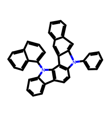 c1ccc(-n2c3cc4ccccc4cc3c3c2ccc2c4ccccc4n(-c4cccc5ccccc45)c23)cc1